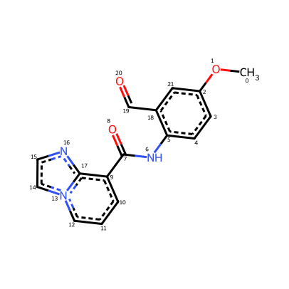 COc1ccc(NC(=O)c2cccn3ccnc23)c(C=O)c1